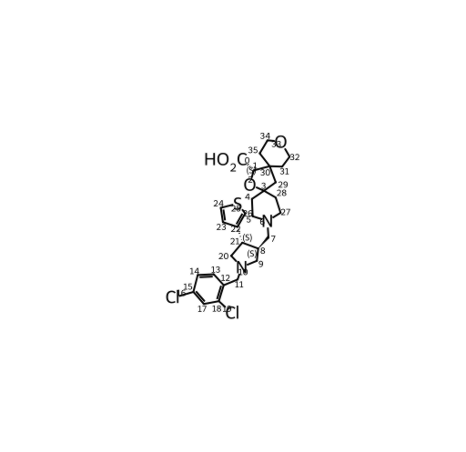 O=C(O)[C@H]1OC2(CCN(C[C@H]3CN(Cc4ccc(Cl)cc4Cl)C[C@@H]3c3ccsc3)CC2)CC12CCOCC2